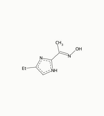 CCc1c[nH]c(/C(C)=N/O)n1